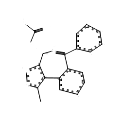 Cc1noc2c1-c1ccccc1C(c1ccccc1)=N[C@H]2CC(N)=O